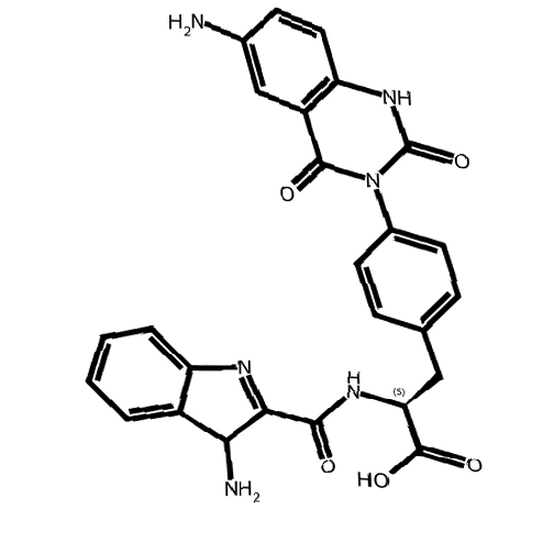 Nc1ccc2[nH]c(=O)n(-c3ccc(C[C@H](NC(=O)C4=Nc5ccccc5C4N)C(=O)O)cc3)c(=O)c2c1